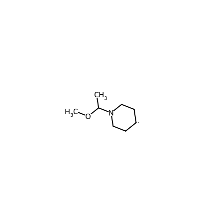 COC(C)N1CC[CH]CC1